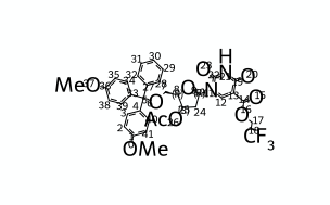 COc1ccc(C(OC[C@H]2O[C@@H](n3cc(C(=O)OCC(F)(F)F)c(=O)[nH]c3=O)C[C@@H]2OC(C)=O)(c2ccccc2)c2ccc(OC)cc2)cc1